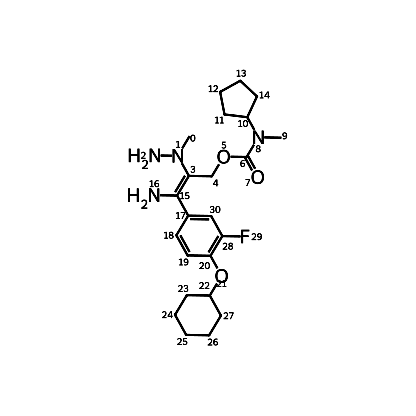 CN(N)/C(COC(=O)N(C)C1CCCC1)=C(\N)c1ccc(OC2CCCCC2)c(F)c1